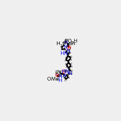 CCC[C@@H](C(=O)N1CCC[C@H]1c1ncc(-c2ccc(-c3ccc(-c4cnc([C@@H]5CCCN5C(=O)[C@@H](NC(=O)OC)C(C)C)[nH]4)cc3)cc2)[nH]1)N(C)C(=O)O